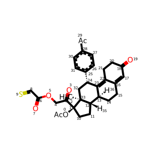 CC(=O)O[C@]1(C(=O)COC(=O)C=S)CC[C@H]2[C@@H]3CCC4=CC(=O)CCC4=C3[C@@H](c3ccc(C(C)=O)cc3)C[C@@]21C